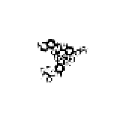 CCOc1cc(C(Nc2ccc3cnccc3c2)C(=O)NCc2ccccc2SC(F)(F)F)ccc1OC(C)C.O=C(O)C(F)(F)F